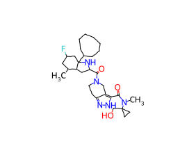 CC1CC(F)CC2(C3CCCCCCC3)NC(C(=O)N3CCc4n[nH]c(C(=O)N(C)C5(CO)CC5)c4C3)CC12